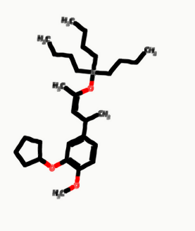 CCCC[Si](CCCC)(CCCC)O/C(C)=C\C(C)c1ccc(OC)c(OC2CCCC2)c1